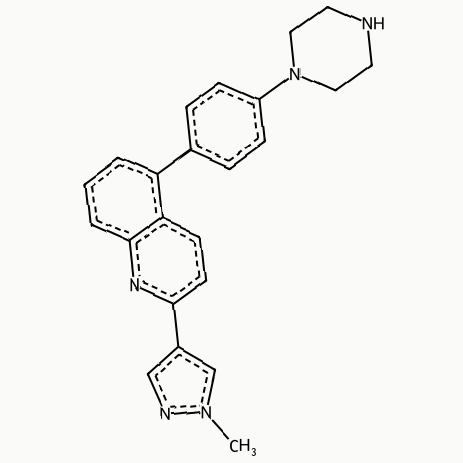 Cn1cc(-c2ccc3c(-c4ccc(N5CCNCC5)cc4)cccc3n2)cn1